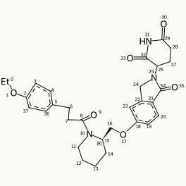 CCOc1ccc(CCC(=O)N2CCCC[C@@H]2COc2ccc3c(c2)CN(C2CCC(=O)NC2=O)C3=O)cc1